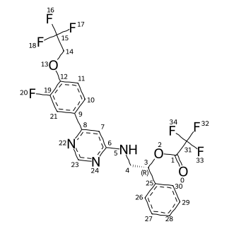 O=C(O[C@@H](CNc1cc(-c2ccc(OCC(F)(F)F)c(F)c2)ncn1)c1ccccc1)C(F)(F)F